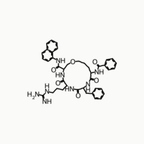 N=C(N)NCCCC1NC(=O)C(Cc2ccccc2)NC(=O)C(NC(=O)c2ccccc2)CCCOCC(C(=O)Nc2cccc3ccccc23)NC1=O